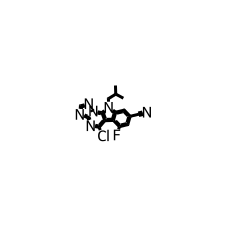 CC(C)Cn1c2cc(C#N)cc(F)c2c2c(Cl)nc3ncnn3c21